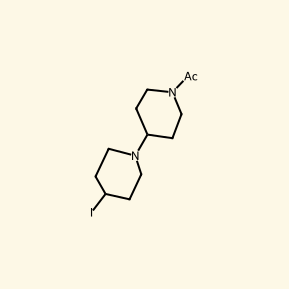 CC(=O)N1CCC(N2CCC(I)CC2)CC1